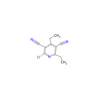 CCc1nc(Cl)c(C#N)c(CC)c1C#N